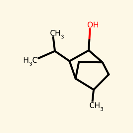 CC(C)C1C(O)C2CC(C)C1C2